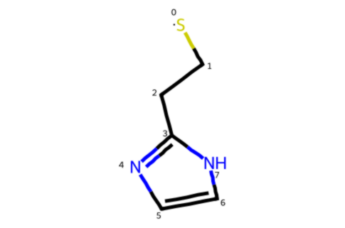 [S]CCc1ncc[nH]1